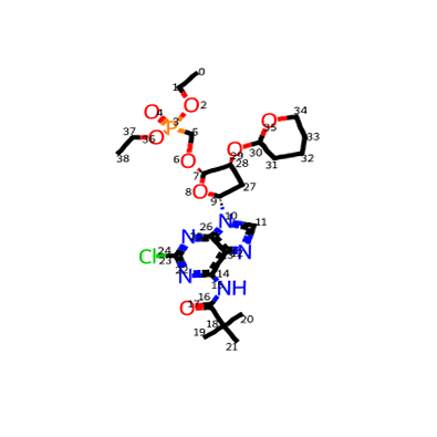 CCOP(=O)(CO[C@H]1O[C@@H](n2cnc3c(NC(=O)C(C)(C)C)nc(Cl)nc32)C[C@@H]1OC1CCCCO1)OCC